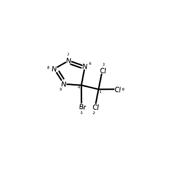 ClC(Cl)(Cl)C1(Br)N=NN=N1